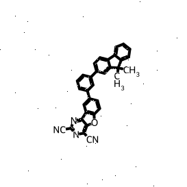 CC1(C)c2ccccc2-c2ccc(-c3cccc(-c4ccc5oc6c(C#N)nc(C#N)nc6c5c4)c3)cc21